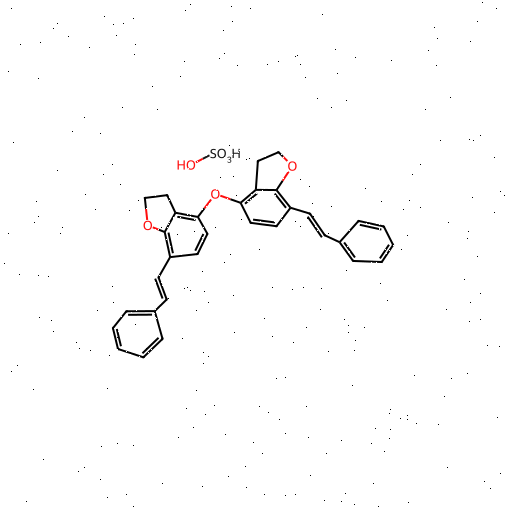 C(=Cc1ccc(Oc2ccc(C=Cc3ccccc3)c3c2CCO3)c2c1OCC2)c1ccccc1.O=S(=O)(O)O